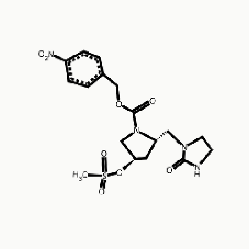 CS(=O)(=O)O[C@@H]1C[C@@H](CN2CCNC2=O)N(C(=O)OCc2ccc([N+](=O)[O-])cc2)C1